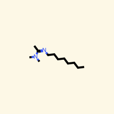 CCCCCCCCN=C(C)N(C)C